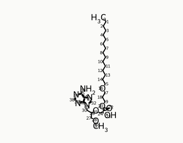 CCCCCCCCCCCCCCCCOCCCOP(=O)(O)COC(COC)Cn1cnc2c(N)ncnc21